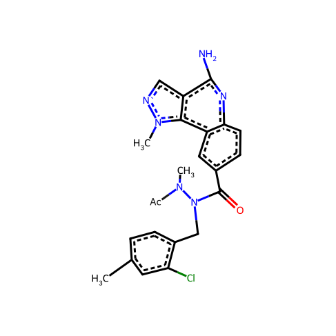 CC(=O)N(C)N(Cc1ccc(C)cc1Cl)C(=O)c1ccc2nc(N)c3cnn(C)c3c2c1